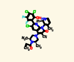 C=CC(=O)N1[C@H](C)CN(c2c(C#N)c(=O)n(C3=C(C)C=CN[C@@H]3C(C)C)c3nc(-c4c(O)c(Cl)c(Cl)c(F)c4F)c(Cl)cc23)C[C@@H]1C